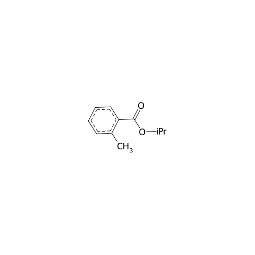 Cc1ccccc1C(=O)OC(C)C